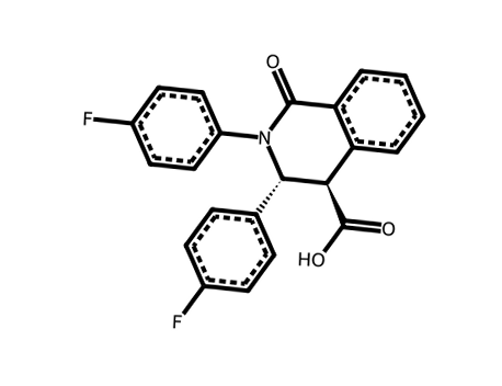 O=C(O)[C@@H]1c2ccccc2C(=O)N(c2ccc(F)cc2)[C@H]1c1ccc(F)cc1